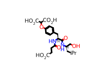 CC(C)C[C@@H](CO)NC(=O)[C@H](Cc1ccc(OC(C(=O)O)C(=O)O)cc1)NC(=O)CCC(=O)O